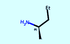 [CH2][C@@H](N)CCC